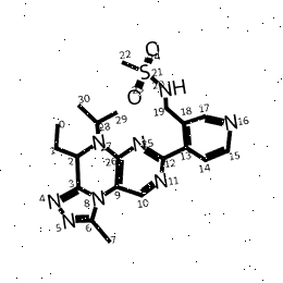 CCC1c2nnc(C)n2-c2cnc(-c3ccncc3CNS(C)(=O)=O)nc2N1C(C)C